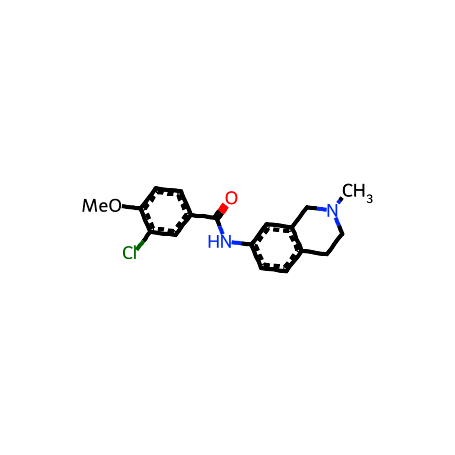 COc1ccc(C(=O)Nc2ccc3c(c2)CN(C)CC3)cc1Cl